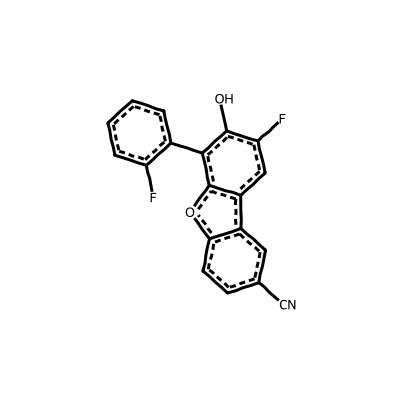 N#Cc1ccc2oc3c(-c4ccccc4F)c(O)c(F)cc3c2c1